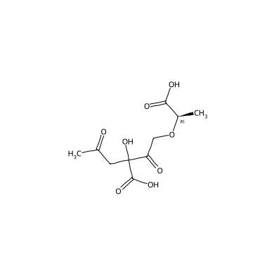 CC(=O)CC(O)(C(=O)O)C(=O)CO[C@H](C)C(=O)O